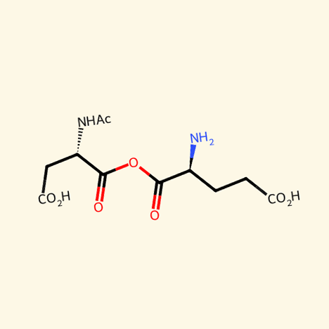 CC(=O)N[C@@H](CC(=O)O)C(=O)OC(=O)[C@@H](N)CCC(=O)O